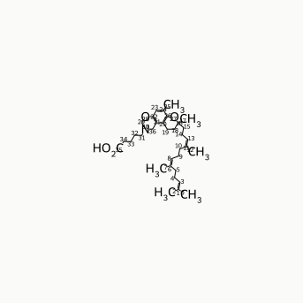 CC(C)=CCCC(C)=CCCC(C)=CCC[C@]1(C)CCc2c3c(cc(C)c2O1)OCN(CCCCC(=O)O)C3